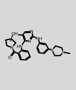 Cc1cnc(Nc2cccc(N3CCN(C)CC3)c2)nc1Nc1ccccc1C(=O)N1CC[C@@H](O)C1